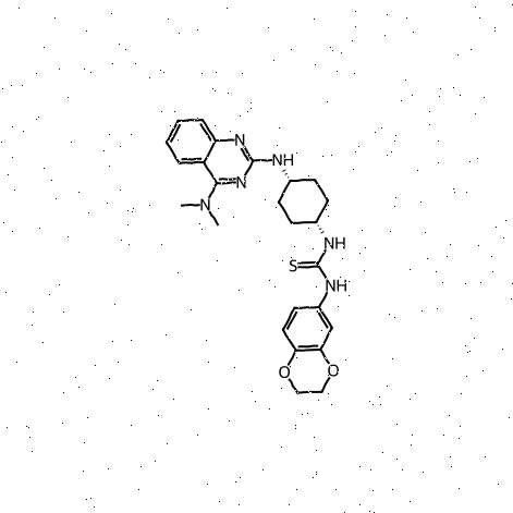 CN(C)c1nc(N[C@H]2CC[C@@H](NC(=S)Nc3ccc4c(c3)OCCO4)CC2)nc2ccccc12